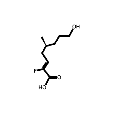 C[C@H](C/C=C(\F)C(=O)O)CCCO